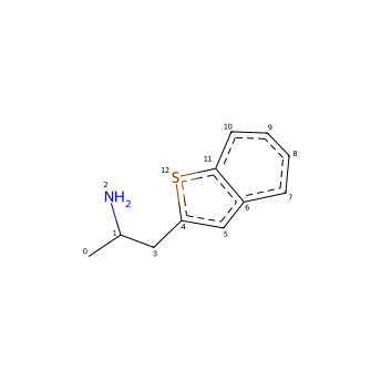 CC(N)Cc1cc2ccccc2s1